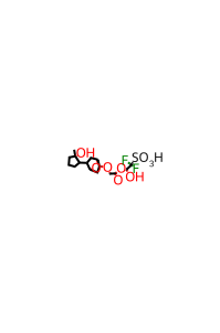 CC1(O)CCCC1C1CC2OC1CC2OCC(=O)OC(O)C(F)(F)S(=O)(=O)O